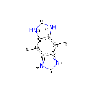 Cc1c2c(c(C)c3c1=NCN=3)NCN2